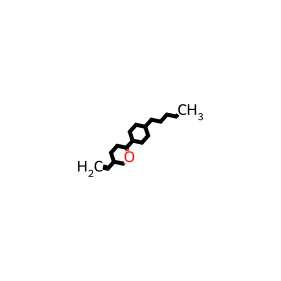 C=CC1CCC(C2CCC(CCCCC)CC2)OC1